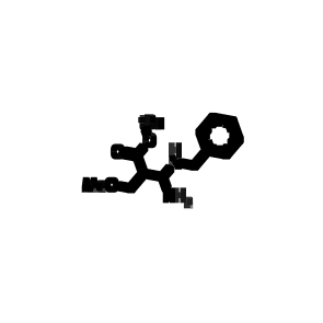 COCC(C(=O)OC(C)(C)C)C(N)NCc1ccccc1